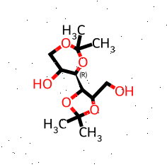 CC1(C)OC(CO)C([C@@H]2OC(C)(C)OCC2O)O1